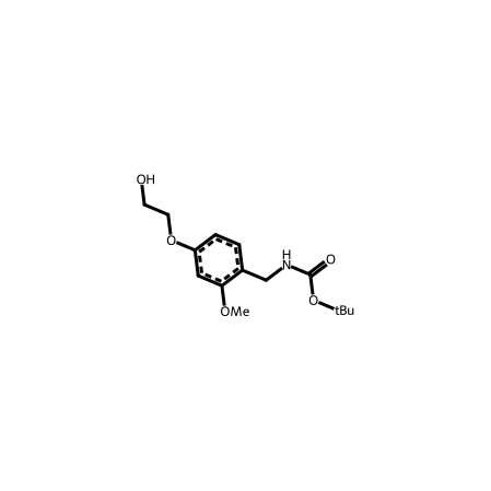 COc1cc(OCCO)ccc1CNC(=O)OC(C)(C)C